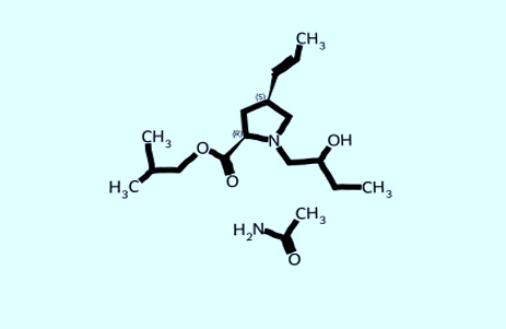 CC(N)=O.CC=C[C@@H]1C[C@H](C(=O)OCC(C)C)N(CC(O)CC)C1